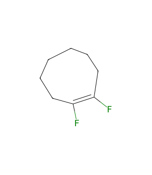 F/C1=C(\F)CCCCCC1